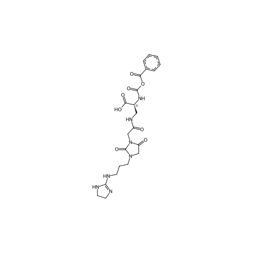 O=C(CN1C(=O)CN(CCCNC2=NCCN2)C1=O)NC[C@H](NC(=O)OC(=O)c1ccccc1)C(=O)O